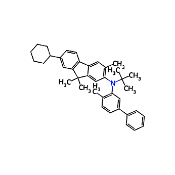 Cc1ccc(-c2ccccc2)cc1N(c1cc2c(cc1C)-c1ccc(C3CCCCC3)cc1C2(C)C)C(C)(C)C